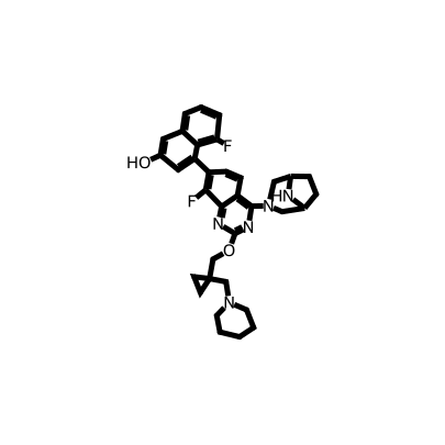 Oc1cc(-c2ccc3c(N4CC5CCC(C4)N5)nc(OCC4(CN5CCCCC5)CC4)nc3c2F)c2c(F)cccc2c1